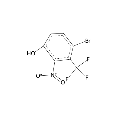 O=[N+]([O-])c1c(O)ccc(Br)c1C(F)(F)F